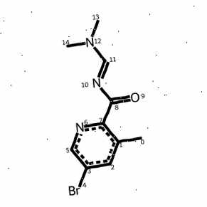 Cc1cc(Br)cnc1C(=O)/N=C/N(C)C